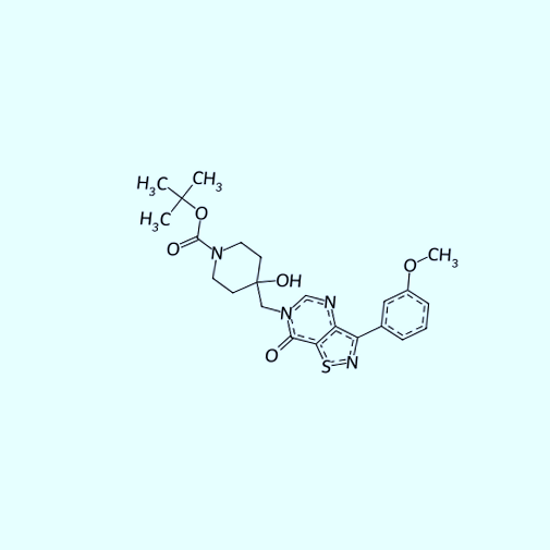 COc1cccc(-c2nsc3c(=O)n(CC4(O)CCN(C(=O)OC(C)(C)C)CC4)cnc23)c1